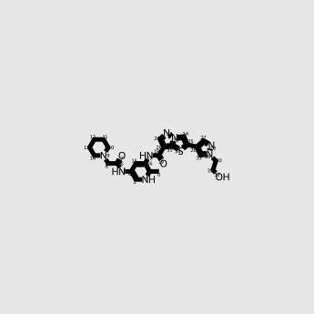 CC1NC=C(NC(=O)CN2CCCCC2)C=C1NC(=O)c1cnn2cc(-c3cnn(CCO)c3)sc12